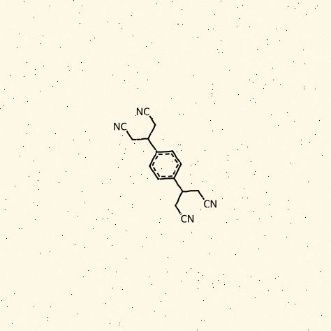 N#CCC(CC#N)c1ccc(C(CC#N)CC#N)cc1